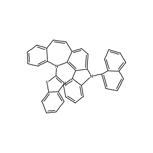 C1=Cc2ccc3c(c2N(c2nc4ccccc4s2)c2ccccc21)c1ccccc1n3-c1cccc2ccccc12